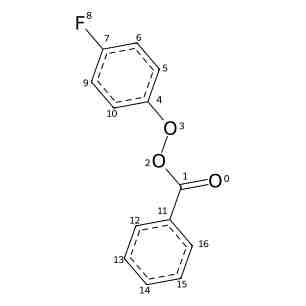 O=C(OOc1ccc(F)cc1)c1ccccc1